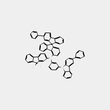 CC1(C)c2ccccc2-c2ccc(N(c3cccc(-n4c5ccccc5c5cc(-c6ccccc6)ccc54)c3)c3cccc4c3-c3ccccc3C43c4ccccc4-c4ccc(-c5ccccc5)cc43)cc21